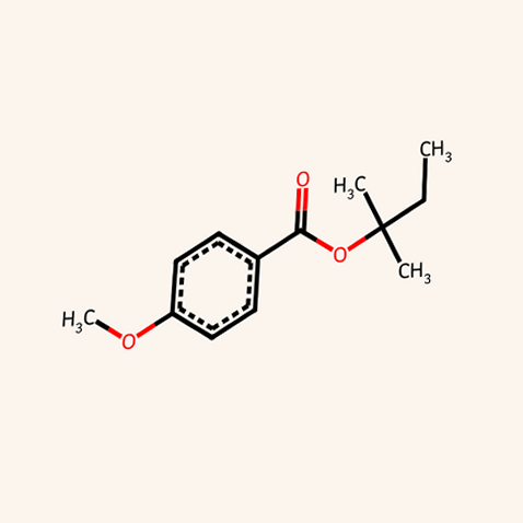 CCC(C)(C)OC(=O)c1ccc(OC)cc1